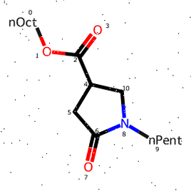 CCCCCCCCOC(=O)C1CC(=O)N(CCCCC)C1